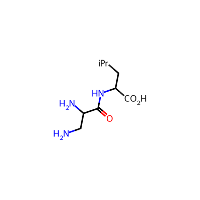 CC(C)CC(NC(=O)C(N)CN)C(=O)O